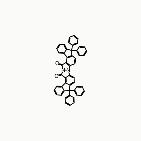 O=c1c2c3c(ccc2n2c4ccc5c(c4c(=O)n12)-c1ccccc1C5(c1ccccc1)c1ccccc1)C(c1ccccc1)(c1ccccc1)c1ccccc1-3